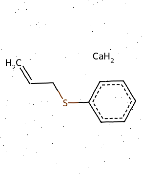 C=CCSc1ccccc1.[CaH2]